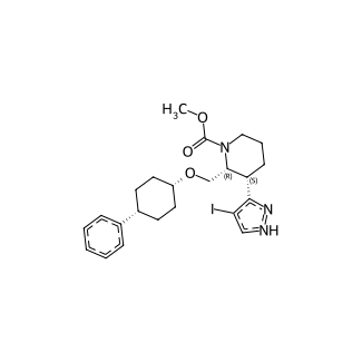 COC(=O)N1CCC[C@H](c2n[nH]cc2I)[C@@H]1CO[C@H]1CC[C@@H](c2ccccc2)CC1